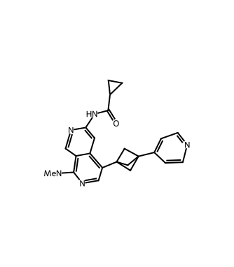 CNc1ncc(C23CC(c4ccncc4)(C2)C3)c2cc(NC(=O)C3CC3)ncc12